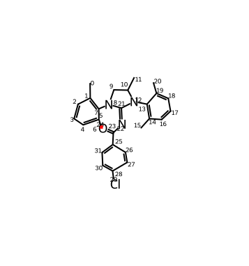 Cc1cccc(C)c1N1CC(C)N(c2c(C)cccc2C)C1=NC(=O)c1ccc(Cl)cc1